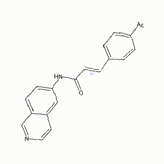 CC(=O)c1ccc(/C=C/C(=O)Nc2ccc3cnccc3c2)cc1